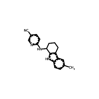 Cc1ccc2[nH]c3c(c2c1)CCCC3Nc1ccc(C#N)cn1